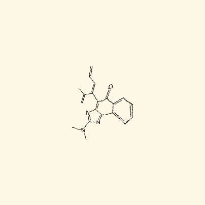 C=C/C=C(\C(=C)C)C1=C2N=C(N(C)C)N=C2c2ccccc2C1=O